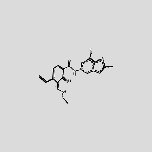 C=CC1=CC=C(C(=O)Nc2cc(F)c3nc(C)cn3c2)C(=N)/C1=C\NCC